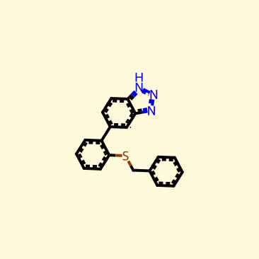 [c]1c(-c2ccccc2SCc2ccccc2)ccc2[nH]nnc12